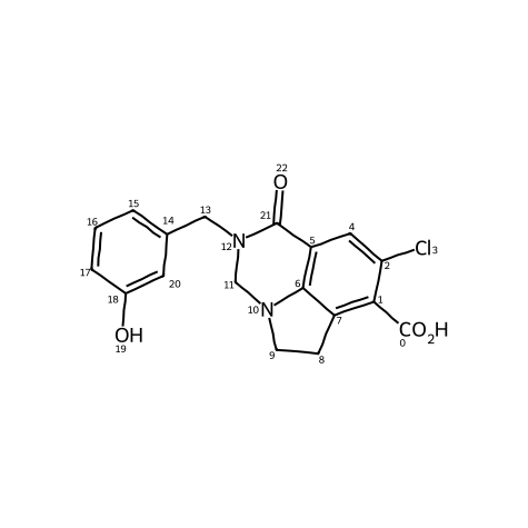 O=C(O)c1c(Cl)cc2c3c1CCN3CN(Cc1cccc(O)c1)C2=O